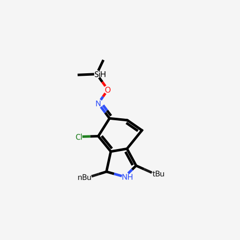 CCCCC1NC(C(C)(C)C)=C2C=CC(=NO[SiH](C)C)C(Cl)=C21